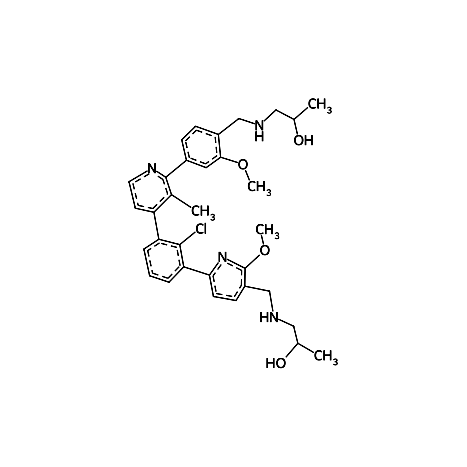 COc1cc(-c2nccc(-c3cccc(-c4ccc(CNCC(C)O)c(OC)n4)c3Cl)c2C)ccc1CNCC(C)O